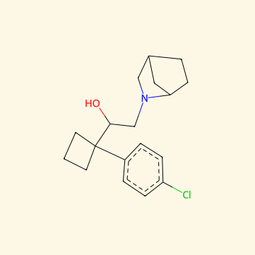 OC(CN1CC2CCC1C2)C1(c2ccc(Cl)cc2)CCC1